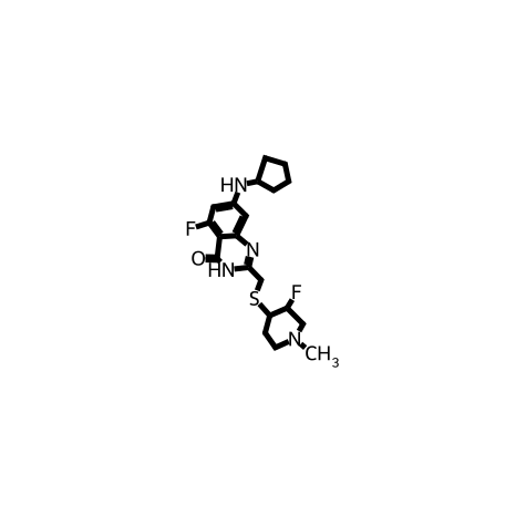 CN1CCC(SCc2nc3cc(NC4CCCC4)cc(F)c3c(=O)[nH]2)C(F)C1